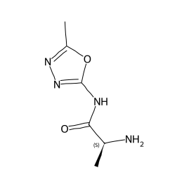 Cc1nnc(NC(=O)[C@H](C)N)o1